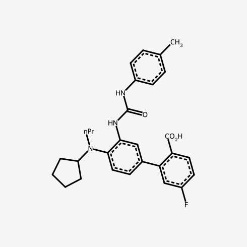 CCCN(c1ccc(-c2cc(F)ccc2C(=O)O)cc1NC(=O)Nc1ccc(C)cc1)C1CCCC1